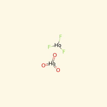 [F][Ho]([F])[F].[O]=[Ho](=[O])=[O]